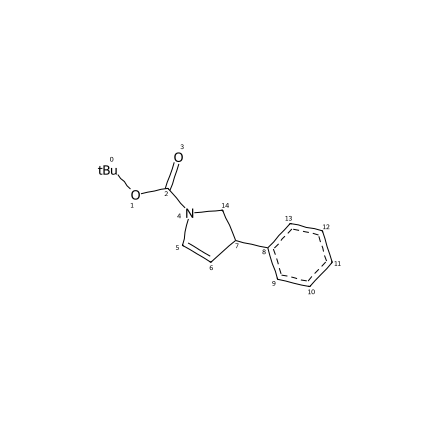 CC(C)(C)OC(=O)N1C=CC(c2ccccc2)C1